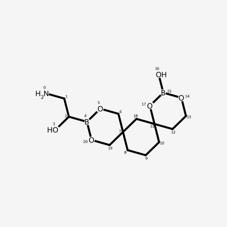 NCC(O)B1OCC2(CCCC3(CCOB(O)O3)C2)CO1